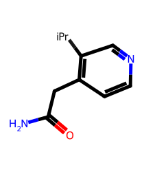 CC(C)c1cnccc1CC(N)=O